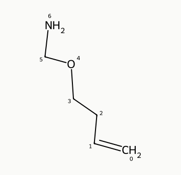 C=CCCOCN